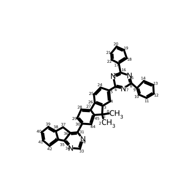 CC1(C)c2cc(-c3nc(-c4ccccc4)nc(-c4ccccc4)n3)ccc2-c2ccc(-c3ncnc4c3Cc3ccccc3-4)cc21